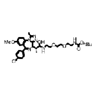 COc1ccc2c(c1)C(c1ccc(Cl)cc1)=N[C@@H]([C@@H](C)C(O)NCCOCCOCCNC(=O)OC(C)(C)C)c1nnc(C)n1-2